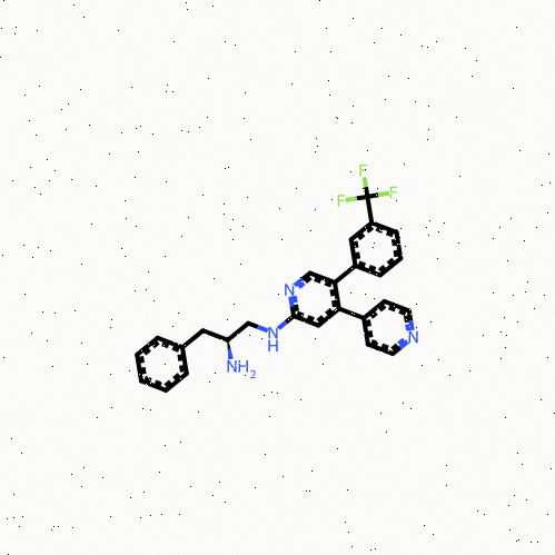 N[C@H](CNc1cc(-c2ccncc2)c(-c2cccc(C(F)(F)F)c2)cn1)Cc1ccccc1